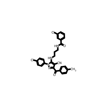 Cc1ccc(C(=O)c2nn(-c3ccc(Cl)cc3)c(NCCCNC(=O)c3cccc(Cl)c3)c2C#N)cc1